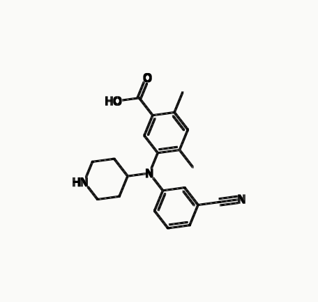 Cc1cc(C)c(N(c2cccc(C#N)c2)C2CCNCC2)cc1C(=O)O